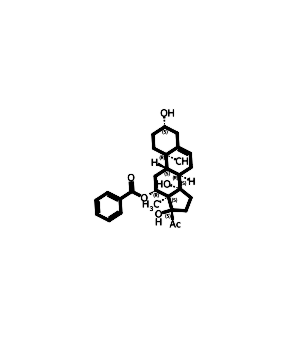 CC(=O)[C@]1(O)CC[C@]2(O)[C@@H]3CC=C4C[C@@H](O)CC[C@]4(C)[C@H]3C[C@@H](OC(=O)c3ccccc3)[C@]12C